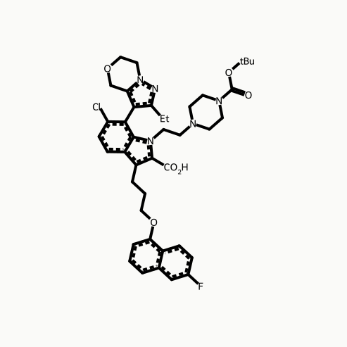 CCc1nn2c(c1-c1c(Cl)ccc3c(CCCOc4cccc5cc(F)ccc45)c(C(=O)O)n(CCN4CCN(C(=O)OC(C)(C)C)CC4)c13)COCC2